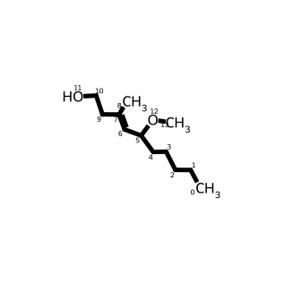 CCCCCC(/C=C(\C)CCO)OC